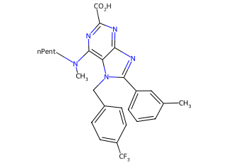 CCCCCN(C)c1nc(C(=O)O)nc2nc(-c3cccc(C)c3)n(Cc3ccc(C(F)(F)F)cc3)c12